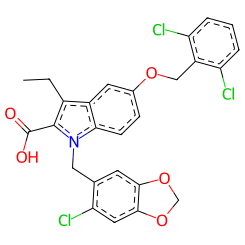 CCc1c(C(=O)O)n(Cc2cc3c(cc2Cl)OCO3)c2ccc(OCc3c(Cl)cccc3Cl)cc12